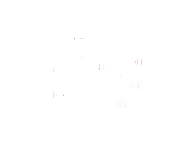 COC(=O)C(C)=C=C(O)C(O)(O)O